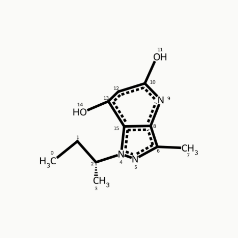 CC[C@@H](C)n1nc(C)c2nc(O)cc(O)c21